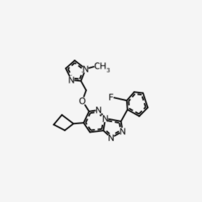 Cn1ccnc1COc1nn2c(-c3ccccc3F)nnc2cc1C1CCC1